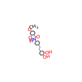 COc1ccc(C(=O)Nc2ccc(CCc3ccc(O)c(O)c3)cc2)c(O)c1